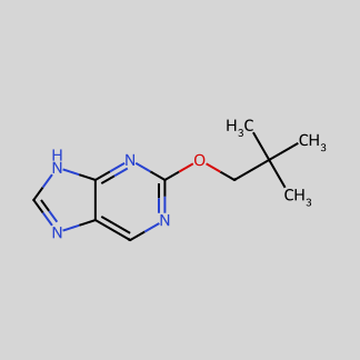 CC(C)(C)COc1ncc2nc[nH]c2n1